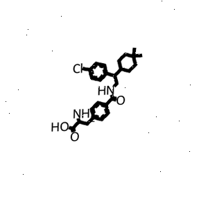 CC1(C)CCC(C(CNC(=O)c2ccc(CC(N)C(=O)O)cc2)c2ccc(Cl)cc2)CC1